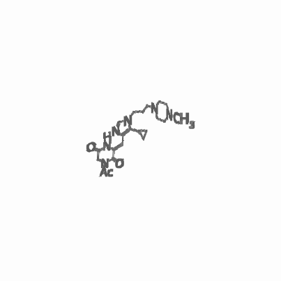 CC(=O)N1CC(=O)N/C(=C\c2ncn(CCCN3CCN(C)CC3)c2C2CC2)C1=O